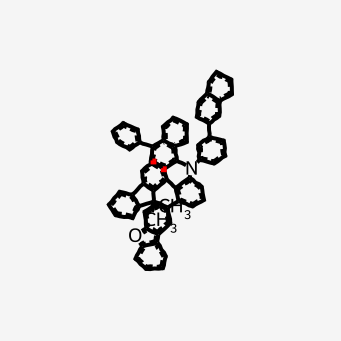 CC1(C)c2ccccc2-c2cccc(-c3c(-c4ccc5oc6ccccc6c5c4)cccc3N(c3cccc(-c4ccc5ccccc5c4)c3)c3ccc(-c4ccccc4)c4ccccc34)c21